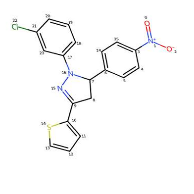 O=[N+]([O-])c1ccc(C2CC(c3cccs3)=NN2c2cccc(Cl)c2)cc1